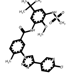 COc1c(NC(=O)c2ccc(C)c(-n3cc(-c4ccc(Cl)nc4)nn3)c2)cc(C(C)(C)C)cc1NS(C)(=O)=O